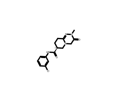 CN1N=C2CC[C@H](C(=O)Nc3cccc(Cl)c3)CN2CC1=O